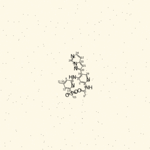 CC(=O)Nc1cc(Nc2cc(C)cc(S(C)(=O)=O)n2)c(-c2cc3ccncn3n2)cn1